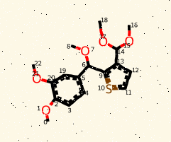 COc1ccc(C(OC)c2sccc2C(OC)OC)cc1OC